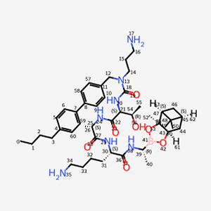 CCCCc1ccc(-c2ccc(CN(CCCN)C(=O)N[C@H](C(=O)N[C@@H](C)C(=O)N[C@@H](CCCCN)C(=O)N[C@@H](C)B3O[C@@H]4C[C@@H]5C[C@@H](C5(C)C)[C@]4(C)O3)[C@@H](C)O)cc2)cc1